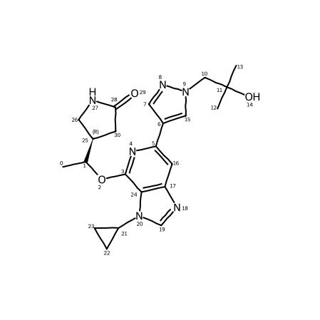 CC(Oc1nc(-c2cnn(CC(C)(C)O)c2)cc2ncn(C3CC3)c12)[C@H]1CNC(=O)C1